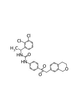 CC(NC(=O)Nc1ccc(S(=O)(=O)Cc2ccc3c(c2)COCC3)cc1)c1cccc(Cl)c1Cl